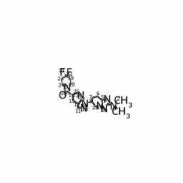 CN(C)c1nc2ccc(-n3ncc4cc(C(=O)N5CCC(F)(F)CC5)cnc43)cn2n1